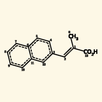 C/C(=C\c1ccc2ccccc2c1)C(=O)O